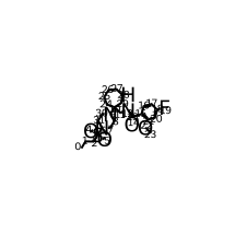 CCCS(=O)(=O)N1CCN(C2(CNC(=O)c3ccc(F)cc3OC)CCCCCC2)CC1